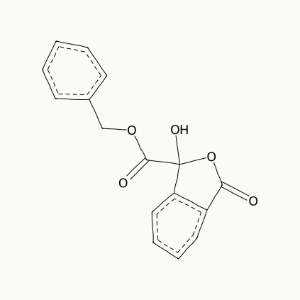 O=C1OC(O)(C(=O)OCc2ccccc2)c2ccccc21